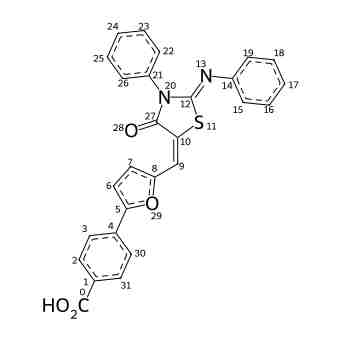 O=C(O)c1ccc(-c2ccc(/C=C3/S/C(=N\c4ccccc4)N(c4ccccc4)C3=O)o2)cc1